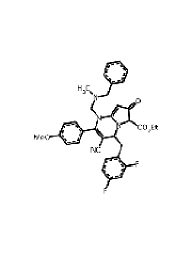 CCOC(=O)C1C(=O)C=C2N(CN(C)Cc3ccccc3)C(c3ccc(OC)cc3)=C(C#N)C(Cc3ccc(F)cc3F)N21